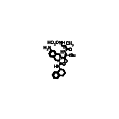 C[C@@H](CNC(=O)O)C(=O)N[C@H](C(=O)N1Cc2cc(N)ccc2C[C@H]1C(=O)N[C@@H]1CCCc2ccccc21)C(C)(C)C